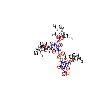 CCCCC(C)(C)OC(=O)CCn1c(=O)n(CCC(=O)OCCn2c(=O)n(CCO)c(=O)n(CCOC(C)(C)C)c2=O)c(=O)n(CCC(=O)OC(C)(C)CCCC)c1=O